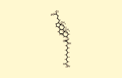 CCC(CCCC1CCC2C3CC=C4CC(OC(=O)NCCCCCCCCNC(C)C)CCC4(C)C3CCC12C)C(C)C